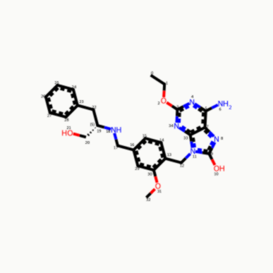 CCOc1nc(N)c2nc(O)n(Cc3ccc(CN[C@H](CO)Cc4ccccc4)cc3OC)c2n1